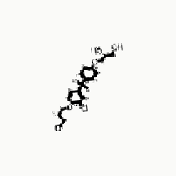 C[C@@H](CCl)COc1ccc(C(C)(C)c2ccc(OC[C@@H](O)CO)cc2)cc1Cl